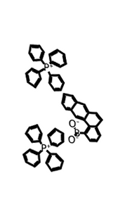 [O-]B([O-])c1cccc2ccc3cc4ccccc4cc3c12.c1ccc([P+](c2ccccc2)(c2ccccc2)c2ccccc2)cc1.c1ccc([P+](c2ccccc2)(c2ccccc2)c2ccccc2)cc1